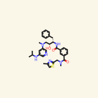 Cc1csc(CN(C)C(=O)c2cccc(C(=O)N[C@@H](Cc3ccccc3)[C@H](O)CN(C)c3cncc(NC(C)C)c3)c2)n1